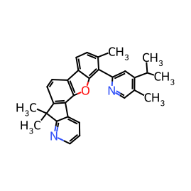 Cc1cnc(-c2c(C)ccc3c2oc2c4c(ccc23)C(C)(C)c2ncccc2-4)cc1C(C)C